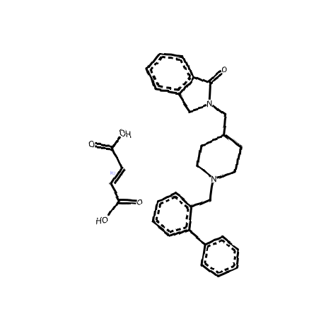 O=C(O)/C=C/C(=O)O.O=C1c2ccccc2CN1CC1CCN(Cc2ccccc2-c2ccccc2)CC1